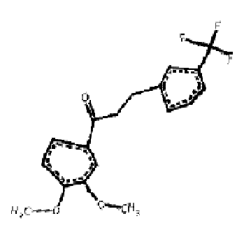 COc1ccc(C(=O)CCc2cccc(C(F)(F)F)c2)cc1OC